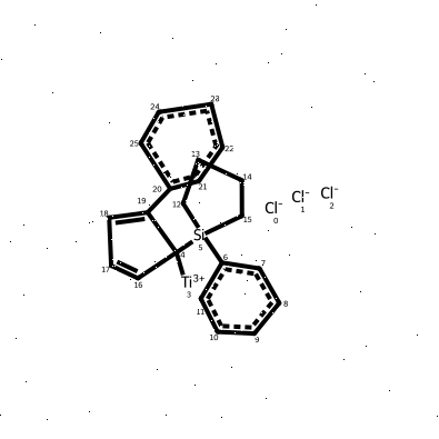 [Cl-].[Cl-].[Cl-].[Ti+3][C]1([Si]2(c3ccccc3)CCCC2)C=CC=C1c1ccccc1